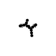 CC1(C)c2cc(N(c3ccc(-c4ccccc4)cc3)c3ccc(-c4nc5ccccc5o4)cc3)ccc2-c2ccc(N(c3ccc(-c4ccc(-c5ccccc5)cc4)cc3)c3ccc(-c4nc5ccccc5o4)cc3)cc21